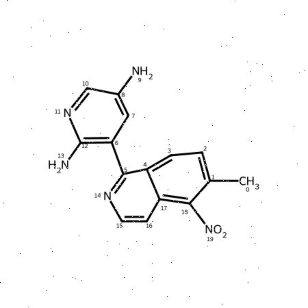 Cc1ccc2c(-c3cc(N)cnc3N)nccc2c1[N+](=O)[O-]